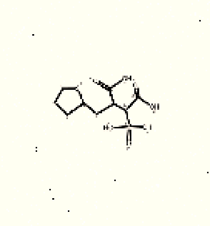 O=C(O)C(CC1CCCS1)C(C(=O)O)P(=O)(O)O